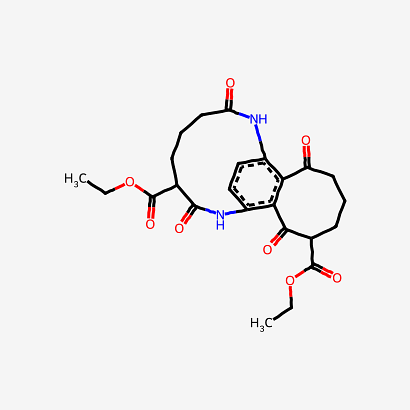 CCOC(=O)C1CCCC(=O)Nc2ccc(c3c2C(=O)CCCC(C(=O)OCC)C3=O)NC1=O